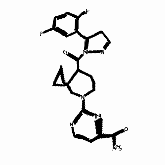 NC(=O)c1ccnc(N2CCC(C(=O)N3N=CCC3c3cc(F)ccc3F)C3(CC3)C2)n1